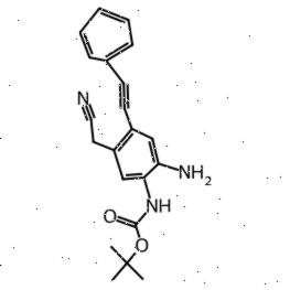 CC(C)(C)OC(=O)Nc1cc(CC#N)c(C#Cc2ccccc2)cc1N